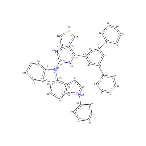 c1ccc(-c2cc(-c3ccccc3)cc(-c3nc(-n4c5ccccc5c5ccc6c(ccn6-c6ccccc6)c54)nc4cscc34)c2)cc1